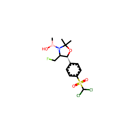 CB(O)N1C(CF)[C@@H](c2ccc(S(=O)(=O)C(Cl)Cl)cc2)OC1(C)C